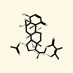 CC(=O)O[C@H]1C[C@H]([C@H](C)[C@H]2CC(C)=C(C)C(=O)O2)[C@@]2(C)CC[C@H]3[C@@H](C[C@H]4O[C@]45[C@@H](O)C=CC(=O)[C@]35C)[C@]12O